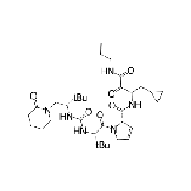 C=CCNC(=O)C(=O)C(CC1CC1)NC(=O)[C@@H]1C=CCN1C(=O)[C@@H](NC(=O)N[C@H](CN1CCCCC1=O)C(C)(C)C)C(C)(C)C